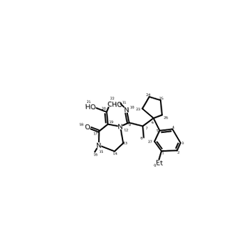 CCc1cccc(C2(C(C)/C(=N/C)N3CCN(C)C(=O)/C3=C(\O)C=O)CCCC2)c1